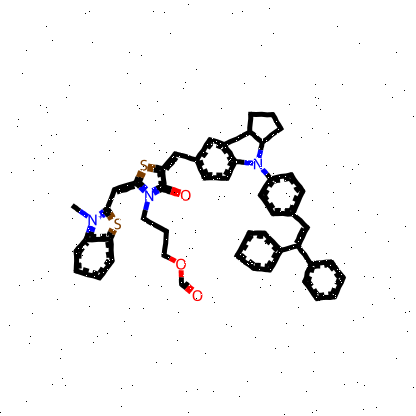 C[n+]1c(/C=c2/s/c(=C/c3ccc4c(c3)C3CCCC3N4c3ccc(C=C(c4ccccc4)c4ccccc4)cc3)c(=O)n2CCCOC=O)sc2ccccc21